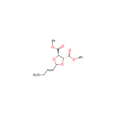 CC(=O)OC/C=C/C1O[C@@H](C(=O)OC(C)C)[C@H](C(=O)OC(C)C)O1